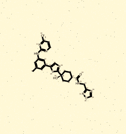 Cc1cc(Nc2nccc(C(F)(F)F)n2)cc(-c2cnc([C@]3(O)CC[C@H](C(=O)NCc4ncon4)CC3)s2)c1